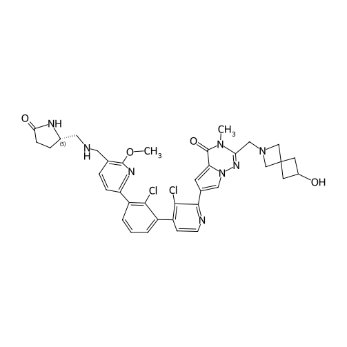 COc1nc(-c2cccc(-c3ccnc(-c4cc5c(=O)n(C)c(CN6CC7(CC(O)C7)C6)nn5c4)c3Cl)c2Cl)ccc1CNC[C@@H]1CCC(=O)N1